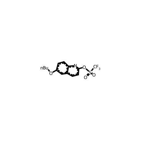 CCCCOc1ccc2nc(OS(=O)(=O)C(F)(F)F)ccc2c1